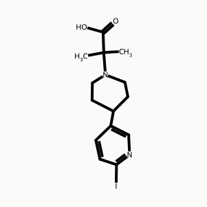 CC(C)(C(=O)O)N1CCC(c2ccc(I)nc2)CC1